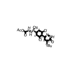 CC(=O)OC(=O)NNN(C#N)c1cc(Cl)c(-c2cc(C(C)(C)C)c(=O)[nH]n2)c(Cl)c1